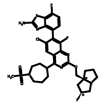 CS(=O)(=O)N1CCCN(c2nc(OC[C@@]34CCCN3C[C@H](F)C4)nc3c(F)c(-c4ccc(F)c5sc(N)nc45)c(Cl)cc23)CC1